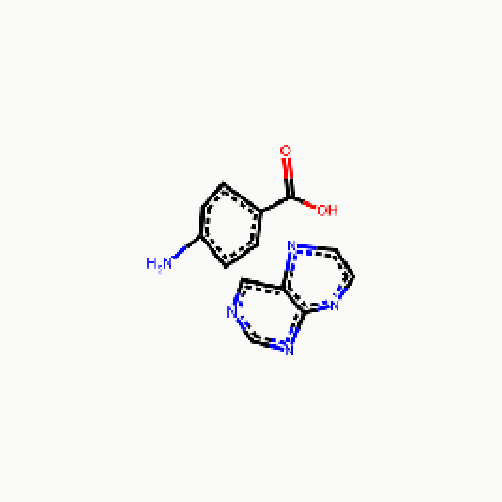 Nc1ccc(C(=O)O)cc1.c1cnc2ncncc2n1